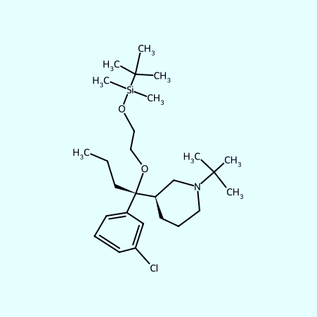 CCC[C@](OCCO[Si](C)(C)C(C)(C)C)(c1cccc(Cl)c1)[C@@H]1CCCN(C(C)(C)C)C1